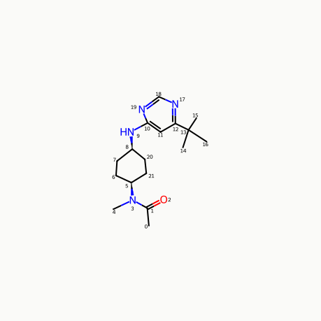 CC(=O)N(C)[C@H]1CC[C@@H](Nc2cc(C(C)(C)C)ncn2)CC1